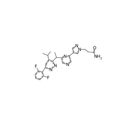 CC(C)c1cc(-c2c(F)cccc2F)nnc1C(C)c1cncc(-c2cnn(CCC(N)=O)c2)n1